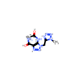 Cn1nnnc1Cn1nnc(C(N)=O)c1NC(=O)C(C)(C)C